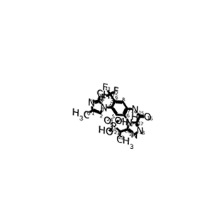 Cc1cn(-c2cc3c(cc2C(F)(F)F)[nH]c(=O)c2nnc(C(C)P(=O)(O)O)n23)c(C)n1